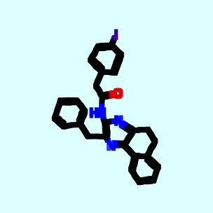 O=C(Cc1ccc(I)cc1)Nc1nc2c(nc1Cc1ccccc1)-c1ccccc1CC2